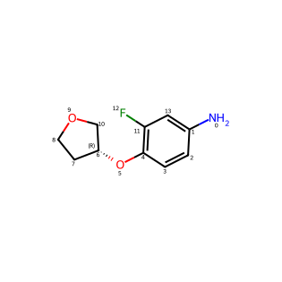 Nc1ccc(O[C@@H]2CCOC2)c(F)c1